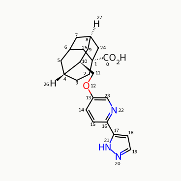 O=C(O)[C@@]12CC[C@@H]3CC(C[C@H](C[C@H]3COc3ccc(-c4ccn[nH]4)nc3)C1)C2